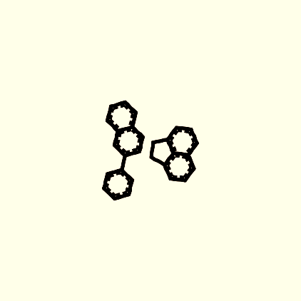 c1cc2c3c(cccc3c1)CC2.c1ccc(-c2ccc3ccccc3c2)cc1